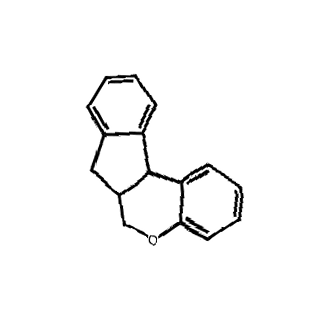 c1ccc2c(c1)CC1COc3ccccc3C21